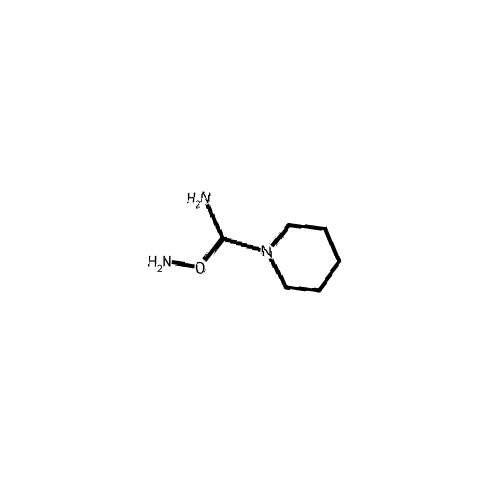 NOC(N)N1CCCCC1